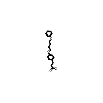 O=C(Cl)CCc1ccc(OCCCCOc2ccccc2)cc1